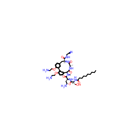 CCCCCCCCCC(=O)N[C@H](CO)C(=O)N[C@@H](CCN)C(=O)N(C)[C@@H]1C(=O)N[C@@H](C)C(=O)N[C@H](C(=O)NCC#N)Cc2ccc(OCCN)c(c2)-c2cc1ccc2OCCN